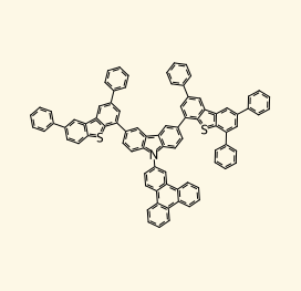 c1ccc(-c2ccc3sc4c(-c5ccc6c(c5)c5cc(-c7cc(-c8ccccc8)cc8c7sc7c(-c9ccccc9)cc(-c9ccccc9)cc78)ccc5n6-c5ccc6c7ccccc7c7ccccc7c6c5)cc(-c5ccccc5)cc4c3c2)cc1